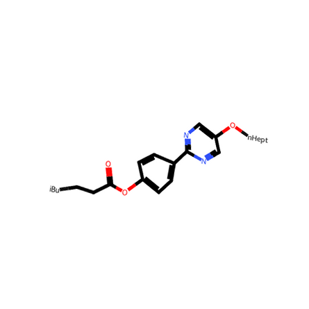 CCCCCCCOc1cnc(-c2ccc(OC(=O)CCC(C)CC)cc2)nc1